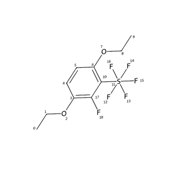 CCOc1ccc(OCC)c(S(F)(F)(F)(F)F)c1F